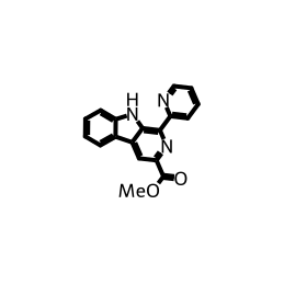 COC(=O)c1cc2c([nH]c3ccccc32)c(-c2ccccn2)n1